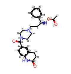 CC(=O)O/N=C(/CCN1CCN(C(=O)c2ccc3c(c2)CCC(=O)N3)CC1)c1ccccc1